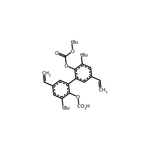 C=Cc1cc(-c2cc(C=C)cc(C(C)(C)C)c2OC(=O)OC(C)(C)C)c(OC(=O)O)c(C(C)(C)C)c1